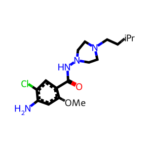 COc1cc(N)c(Cl)cc1C(=O)NN1CCN(CCC(C)C)CC1